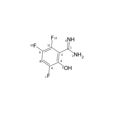 N=C(N)c1c(O)c(F)[c]c(F)c1F